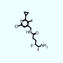 C[C@H](N)[C@H](F)CCC(=O)NCc1cc(Cl)nc(C2CC2)c1I